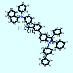 CC1(C)c2cc(-c3ccc4c(c3)c(-c3ccccc3)c(-c3ccccc3)n4-c3ccc(-c4ccccc4)cc3)ccc2-c2ccc(N(c3ccccc3)c3cccc4ccccc34)cc21